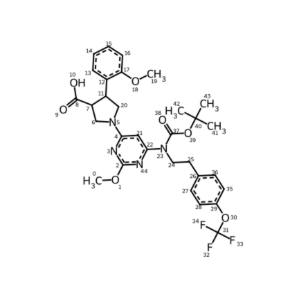 COc1nc(N2CC(C(=O)O)C(c3ccccc3OC)C2)cc(N(CCc2ccc(OC(F)(F)F)cc2)C(=O)OC(C)(C)C)n1